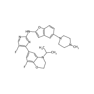 CC(C)N1CCOc2c(F)cc(-c3nc(Nc4cc5cc(N6CCN(C)CC6)ccc5o4)ncc3F)cc21